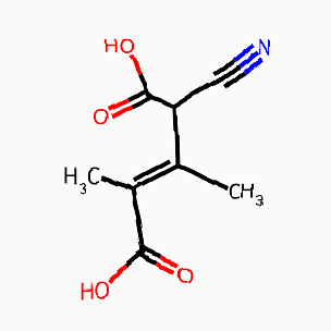 C/C(C(=O)O)=C(/C)C(C#N)C(=O)O